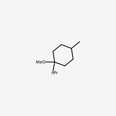 CCCC1(OC)CCC(C)CC1